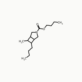 CCCCOC(=O)N1CC2C(C)C(CCCC)C2C1